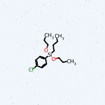 CCCC[Si](OCCC)(OCCC)c1ccc(Cl)cc1